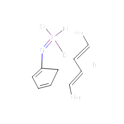 CC(C)(C)C=CC=CC(C)(C)C.CCP(CC)(CC)=NC1=CC=CC1.[Ti]